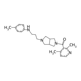 Cc1ccc(NCCCN2CC3CN(C(=O)c4c(C)ccnc4C)CC3C2)cc1